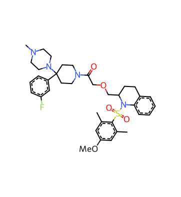 COc1cc(C)c(S(=O)(=O)N2c3ccccc3CCC2COCC(=O)N2CCC(c3cccc(F)c3)(N3CCN(C)CC3)CC2)c(C)c1